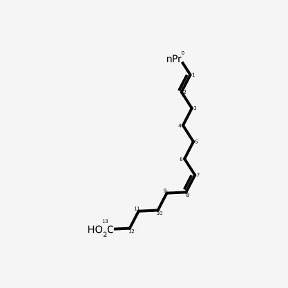 CCCC=CCCCC/C=C\CCCCC(=O)O